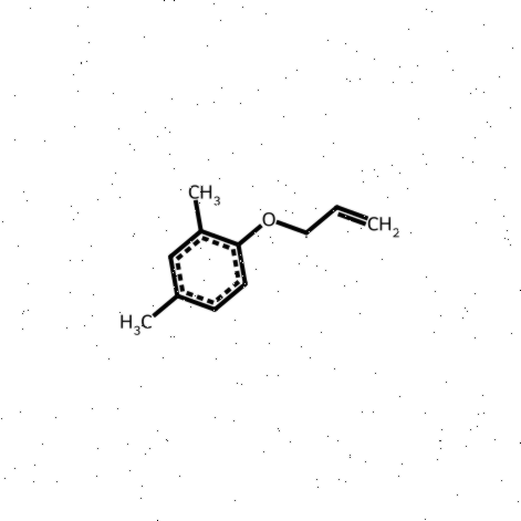 C=C[CH]Oc1ccc(C)cc1C